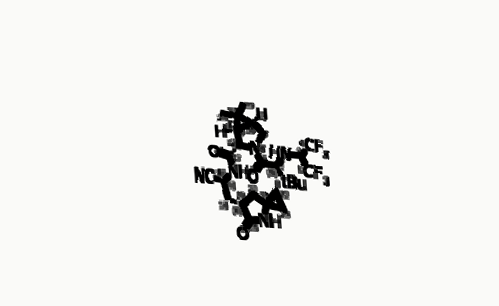 CC(C)(C)[C@H](NC(C(F)(F)F)C(F)(F)F)C(=O)N1C[C@H]2[C@@H]([C@H]1C(=O)N[C@H](C#N)C[C@@H]1CC3(CC3)NC1=O)C2(C)C